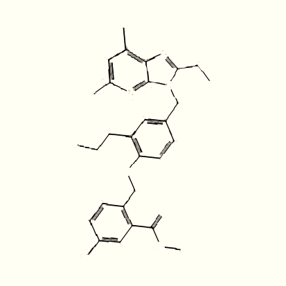 CCCc1cc(Cn2c(CC)nc3c(C)cc(C)nc32)ccc1OCc1ccc(Cl)cc1C(=O)OC